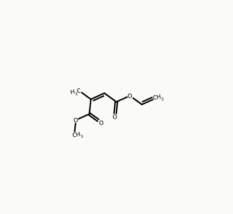 C=COC(=O)C=C(C)C(=O)OC